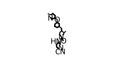 Cc1ccc(Oc2cccc(/C=C3\CCN(C(=O)Nc4ccc(C#N)nc4)CC3C)c2)cn1